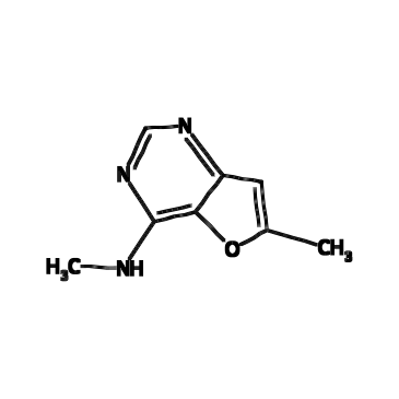 CNc1ncnc2cc(C)oc12